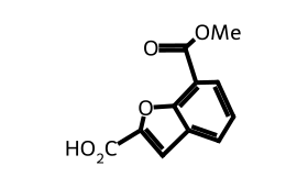 COC(=O)c1cccc2cc(C(=O)O)oc12